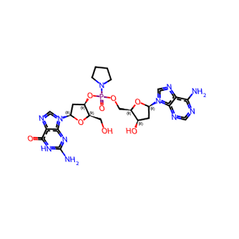 Nc1nc2c(ncn2[C@H]2C[C@@H](OP(=O)(OC[C@H]3O[C@@H](n4cnc5c(N)ncnc54)C[C@H]3O)N3CCCC3)[C@@H](CO)O2)c(=O)[nH]1